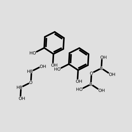 OB(O)OB(O)O.OBOBO.Oc1ccccc1O.Oc1ccccc1O